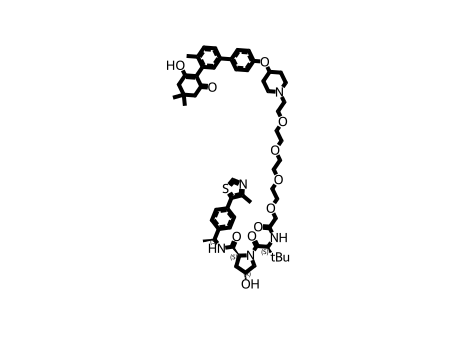 Cc1ccc(-c2ccc(OC3CCN(CCOCCOCCOCCOCC(=O)N[C@H](C(=O)N4C[C@H](O)C[C@H]4C(=O)N[C@@H](C)c4ccc(-c5scnc5C)cc4)C(C)(C)C)CC3)cc2)cc1C1=C(O)CC(C)(C)CC1=O